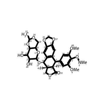 CNOc1c(OC)cc(C2c3cc4c(cc3[C@@H](OC3OC5COC(C)OC5C(O)C3O)[C@H]3COC(=O)[C@H]23)OCO4)cc1OC